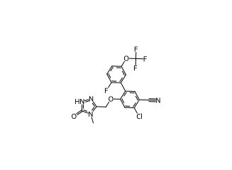 Cn1c(COc2cc(Cl)c(C#N)cc2-c2cc(OC(F)(F)F)ccc2F)n[nH]c1=O